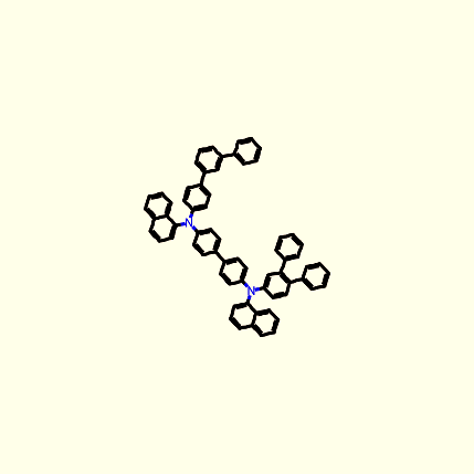 c1ccc(-c2cccc(-c3ccc(N(c4ccc(-c5ccc(N(c6ccc(-c7ccccc7)c(-c7ccccc7)c6)c6cccc7ccccc67)cc5)cc4)c4cccc5ccccc45)cc3)c2)cc1